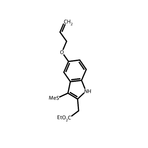 C=CCOc1ccc2[nH]c(CC(=O)OCC)c(SC)c2c1